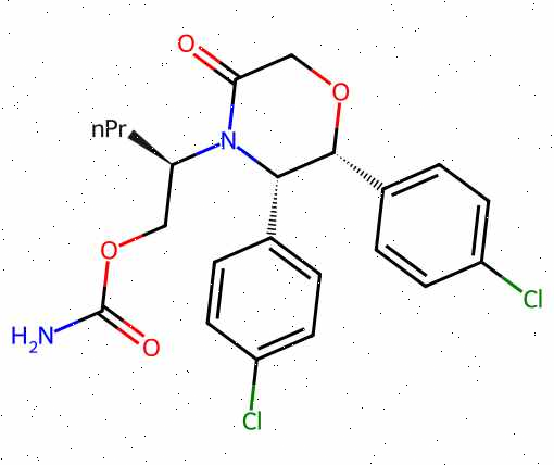 CCC[C@H](COC(N)=O)N1C(=O)CO[C@H](c2ccc(Cl)cc2)[C@@H]1c1ccc(Cl)cc1